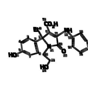 CCC1(c2ccc(O)cc2)C(C(=O)O)=C(Nc2ccccc2)C(=O)N1CCO